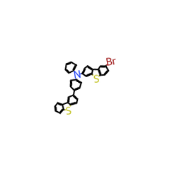 Brc1ccc2sc3cc(N(c4ccccc4)c4ccc(-c5ccc6sc7ccccc7c6c5)cc4)ccc3c2c1